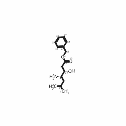 CC(C)C[C@H](N)[C@@H](O)CC(=O)OCc1ccccc1